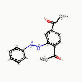 COC(=O)c1ccc(C(=O)OC)c(NNc2ccccc2)c1